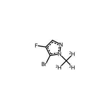 [2H]C([2H])([2H])n1ncc(F)c1Br